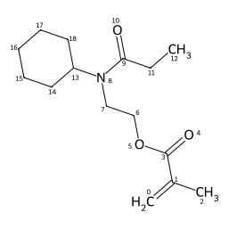 C=C(C)C(=O)OCCN(C(=O)CC)C1CCCCC1